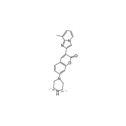 Cc1cccn2cc(-c3cc4ccc(N5C[C@@H](C)N[C@@H](C)C5)cc4oc3=O)nc12